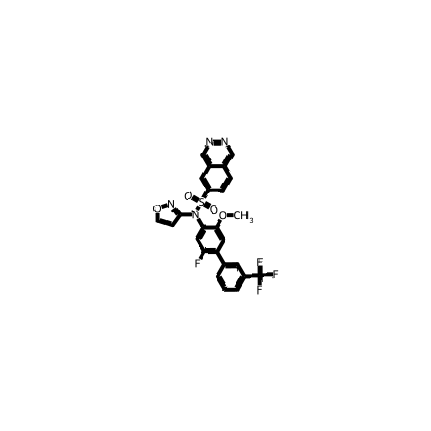 COc1cc(-c2cccc(C(F)(F)F)c2)c(F)cc1N(c1ccon1)S(=O)(=O)c1ccc2cnncc2c1